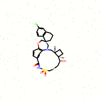 O=C1NS(=O)(=O)CCC[C@H](O)[C@@H]2CC[C@H]2CN2C[C@@]3(CCCc4cc(Cl)ccc43)COc3ccc1cc32